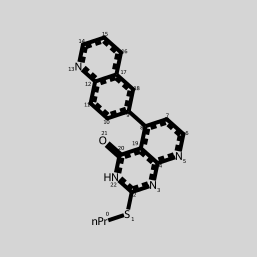 CCCSc1nc2nccc(-c3ccc4ncccc4c3)c2c(=O)[nH]1